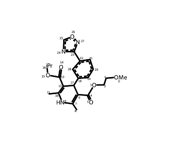 COCCOC(=O)C1=C(C)NC(C)=C(C(=O)OC(C)C)C1c1cccc(-c2ncon2)c1